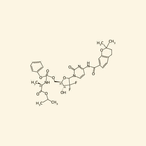 CC(C)OC(=O)[C@@H](C)NP(=O)(OC[C@H]1OC(n2ccc(NC(=O)c3ccc4c(c3)OC(C)(C)CC4)nc2=O)C(F)(F)[C@@H]1O)Oc1ccccc1